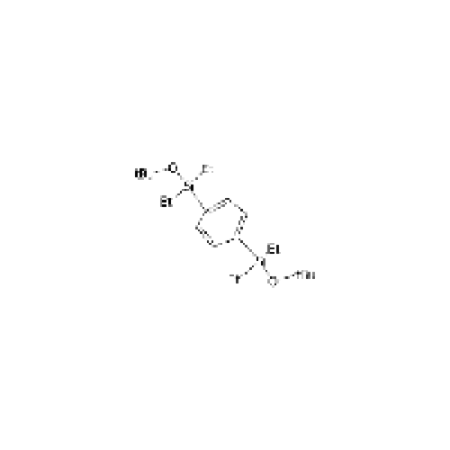 CC[Si](CC)(OC(C)(C)C)c1ccc([Si](CC)(CC)OC(C)(C)C)cc1